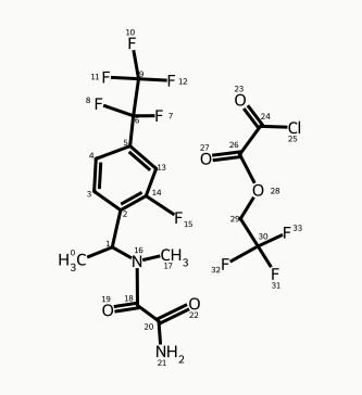 CC(c1ccc(C(F)(F)C(F)(F)F)cc1F)N(C)C(=O)C(N)=O.O=C(Cl)C(=O)OCC(F)(F)F